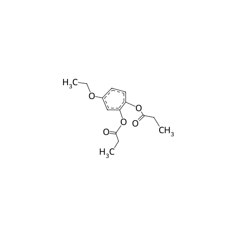 CCOc1ccc(OC(=O)CC)c(OC(=O)CC)c1